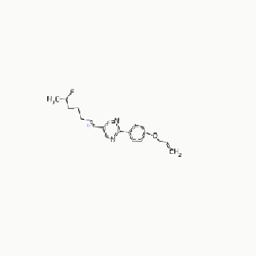 C=CCOc1ccc(-c2ncc(/C=C/CCCC(C)F)cn2)cc1